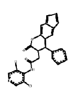 O=C(CC1C(=O)OC2=CC3=CC=CC3=CC2C1c1ccccc1)Nc1c(Cl)cncc1Cl